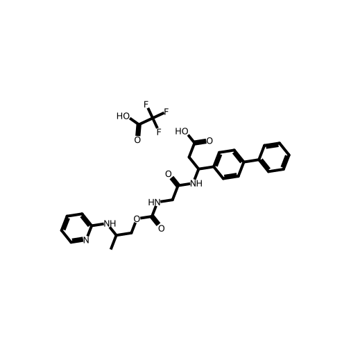 CC(COC(=O)NCC(=O)NC(CC(=O)O)c1ccc(-c2ccccc2)cc1)Nc1ccccn1.O=C(O)C(F)(F)F